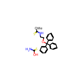 COC(=S)NCCOC(c1ccccc1)(c1ccccc1)c1ccccc1.NC(O)=S